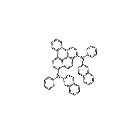 c1ccc(N(c2ccc3ccccc3c2)c2ccc3c4ccccc4c4ccc(N(c5ccccc5)c5ccc6ccccc6c5)c5ccc2c3c54)cc1